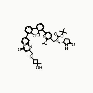 COc1nc(-c2cccc(-c3cccc(-c4ccn5c(=O)cc(CNC6CC(C)(O)C6)nc5c4)c3Cl)c2Cl)ccc1CN(C[C@@H]1CCC(=O)N1)C(=O)OC(C)(C)C